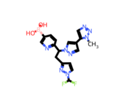 Cn1nncc1-c1cnn(C(Cc2ccn(C(F)F)n2)c2ccc(B(O)O)cn2)c1